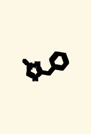 Cn1cnc(Cc2ccccc2)n1